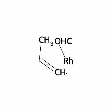 O=[CH][Rh].[CH]=CC